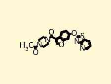 CC(=O)N1CCN(C(=O)c2coc3cc(Oc4nc5ncccc5s4)ccc23)CC1